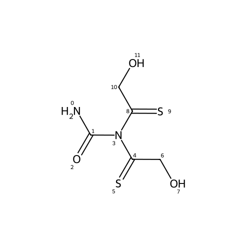 NC(=O)N(C(=S)CO)C(=S)CO